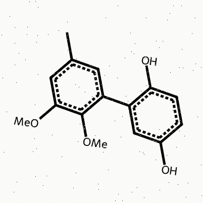 COc1cc(C)cc(-c2cc(O)ccc2O)c1OC